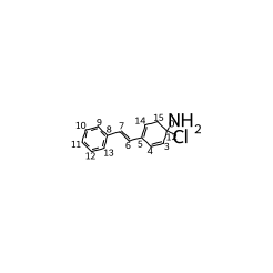 NC1(Cl)C=CC(C=Cc2ccccc2)=CC1